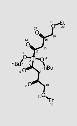 CCCC[O][Ti]([O]CCCC)([C](=O)CC(=O)COCC)[C](=O)CC(=O)COCC